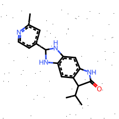 Cc1cc(C2Nc3cc4c(cc3N2)C(C(C)C)C(=O)N4)ccn1